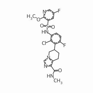 CNC(=O)c1ncn2c1CCC(c1c(F)ccc(NS(=O)(=O)c3cc(F)cnc3OC)c1Cl)C2